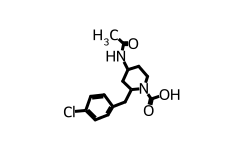 CC(=O)NC1CCN(C(=O)O)C(Cc2ccc(Cl)cc2)C1